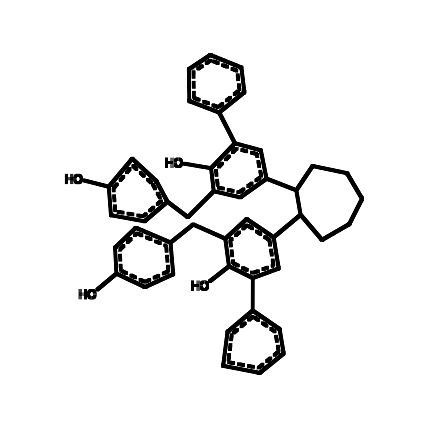 Oc1ccc(Cc2cc(C3CCCCCC3c3cc(Cc4ccc(O)cc4)c(O)c(-c4ccccc4)c3)cc(-c3ccccc3)c2O)cc1